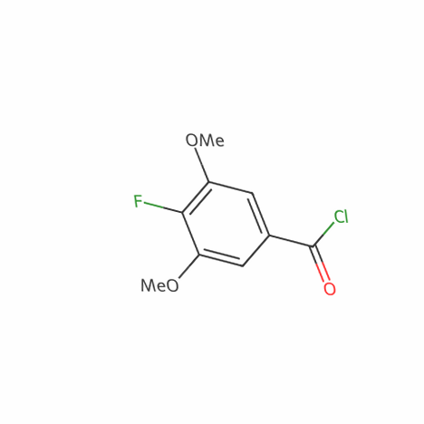 COc1cc(C(=O)Cl)cc(OC)c1F